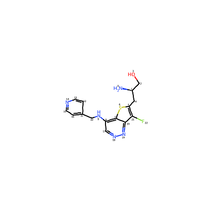 N[C@@H](CO)Cc1sc2c(NCc3ccncc3)cnnc2c1F